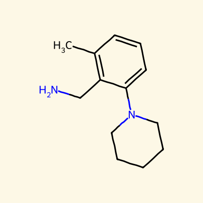 Cc1cccc(N2CCCCC2)c1CN